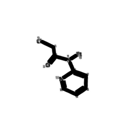 CCN(C(=O)CCl)c1ccccn1